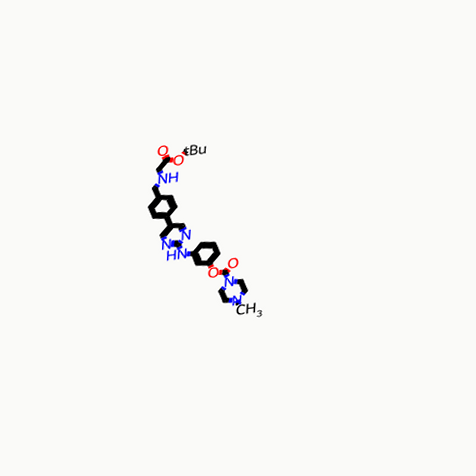 CN1CCN(C(=O)Oc2cccc(Nc3ncc(-c4ccc(CNCC(=O)OC(C)(C)C)cc4)cn3)c2)CC1